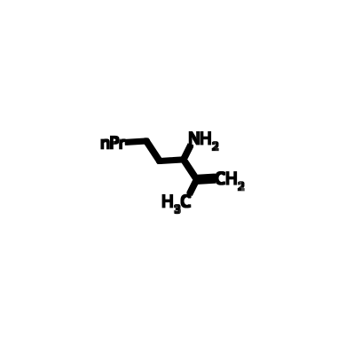 C=C(C)C(N)CCCCC